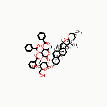 CC1O[C@@H](O[C@H]2C(C)[C@H](O)C(CO)O[C@H]2O[C@H]2CC[C@@]3(C)C(=CC[C@H]4[C@@H]5C[C@@H]6O[C@]7(CC[C@@H](C)CO7)[C@@H](C)[C@@H]6[C@@]5(C)CC[C@@H]43)C2)[C@@H](OC(=O)c2ccccc2)C(OC(=O)c2ccccc2)[C@H]1OC(=O)c1ccccc1